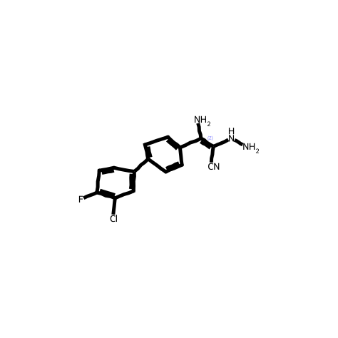 N#C/C(NN)=C(/N)c1ccc(-c2ccc(F)c(Cl)c2)cc1